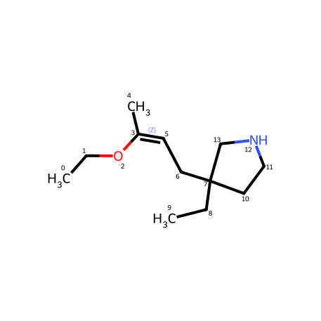 CCO/C(C)=C\CC1(CC)CCNC1